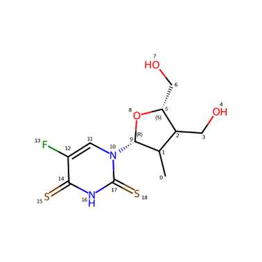 CC1C(CO)[C@@H](CO)O[C@H]1n1cc(F)c(=S)[nH]c1=S